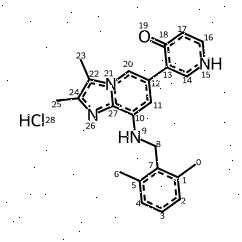 Cc1cccc(C)c1CNc1cc(-c2c[nH]ccc2=O)cn2c(C)c(C)nc12.Cl